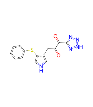 O=C(Cc1c[nH]cc1Sc1ccccc1)C(=O)c1nn[nH]n1